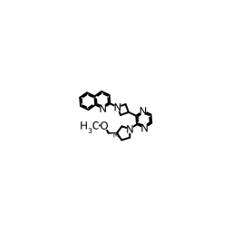 COC[C@@H]1CCN(c2nccnc2C2CN(c3ccc4ccccc4n3)C2)C1